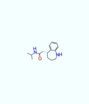 CC(C)NC(=O)C[C@H]1CCCNc2ccccc21